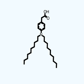 CCCCCCCCCCN(CCCCCCCCCC)c1ccc(CC(=O)O)cc1